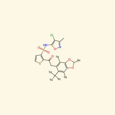 [2H]c1c(CC(=O)c2sccc2S(=O)(=O)Nc2onc(C)c2Cl)c(C([2H])([2H])[2H])c([2H])c2c1OC([2H])O2